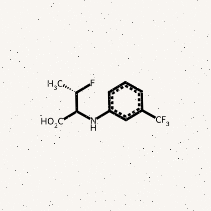 C[C@H](F)C(Nc1cccc(C(F)(F)F)c1)C(=O)O